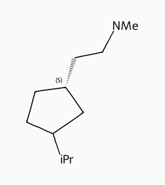 CNCC[C@H]1CCC(C(C)C)C1